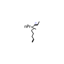 C=CCCCS(C)(/C=C/C)CCC